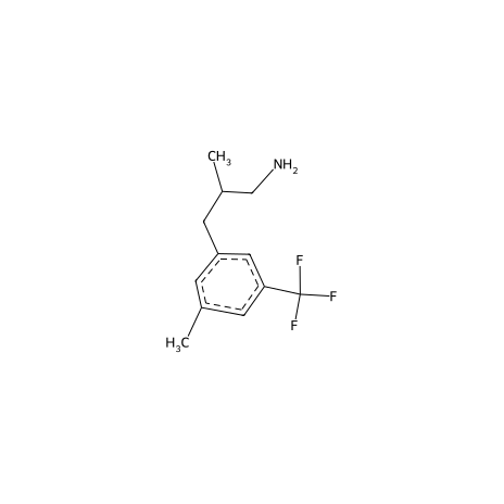 Cc1cc(CC(C)CN)cc(C(F)(F)F)c1